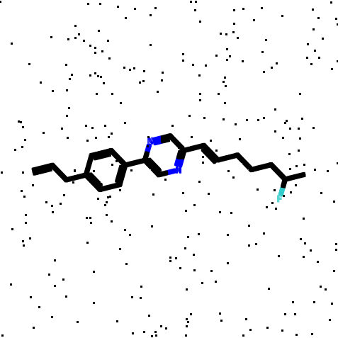 C=CCc1ccc(-c2cnc(C=CCCCC(C)F)cn2)cc1